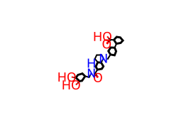 O=C(NCc1ccc(O)c(O)c1)c1ccc2c(c1)CCCN2Cc1ccc(-c2ccccc2C(=O)O)cc1